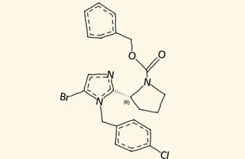 O=C(OCc1ccccc1)N1CCC[C@@H]1c1ncc(Br)n1Cc1ccc(Cl)cc1